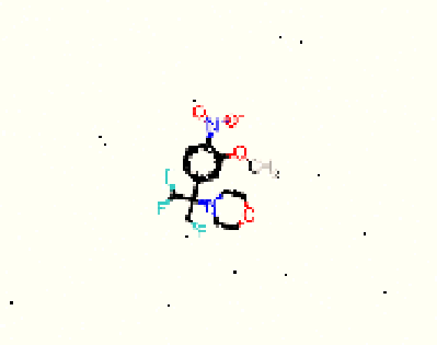 COc1cc(C(CF)(C(F)F)N2CCOCC2)ccc1[N+](=O)[O-]